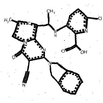 Cc1cc(C(C)Nc2ccc(Cl)nc2C(=O)O)c2nc(N3Cc4ccccc4C3)c(C#N)c(=O)n2c1